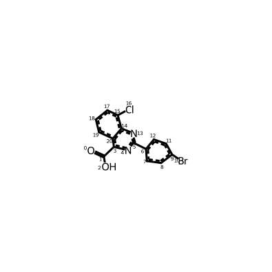 O=C(O)c1nc(-c2ccc(Br)cc2)nc2c(Cl)cccc12